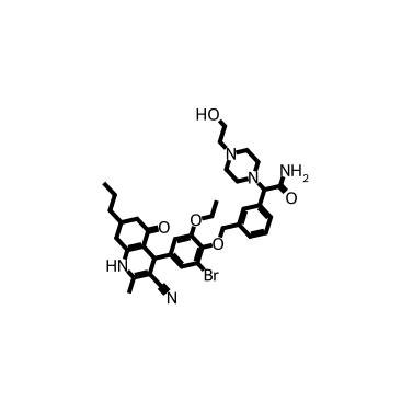 CCCC1CC(=O)C2=C(C1)NC(C)=C(C#N)C2c1cc(Br)c(OCc2cccc(C(C(N)=O)N3CCN(CCO)CC3)c2)c(OCC)c1